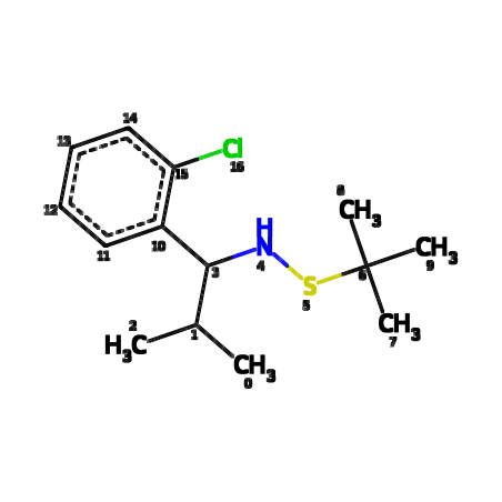 CC(C)C(NSC(C)(C)C)c1ccccc1Cl